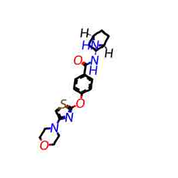 O=C(N[C@@H]1C[C@H]2CC[C@@H]1N2)c1ccc(Oc2nc(N3CCOCC3)cs2)cc1